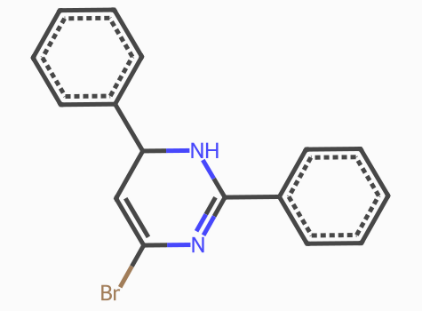 BrC1=CC(c2ccccc2)NC(c2ccccc2)=N1